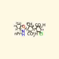 CCC[C@@H](NC(=O)c1cc(C(=O)O)c(-c2cc(Cl)ccc2C(=O)O)cc1C)c1ccccc1